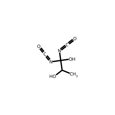 CC(O)C(O)(N=C=O)N=C=O